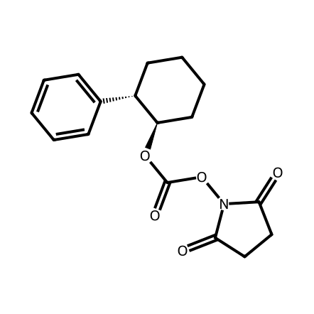 O=C(O[C@@H]1CCCC[C@H]1c1ccccc1)ON1C(=O)CCC1=O